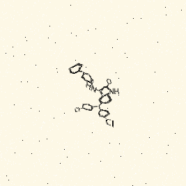 O=c1cc(Nc2ccc(-c3ccccc3)cc2)c2cc(C(c3ccc(Cl)cc3)c3ccc(Cl)cc3)ccc2[nH]1